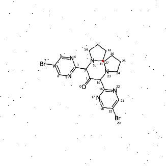 O=C(C(c1ncc(Br)cn1)N1CCCC1)C(c1ncc(Br)cn1)N1CCCC1